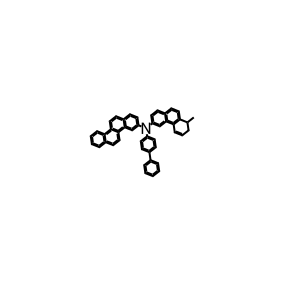 CC1CC=Cc2c1ccc1ccc(N(c3ccc(-c4ccccc4)cc3)c3ccc4ccc5c6ccccc6ccc5c4c3)cc21